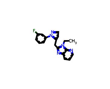 CCn1c(Cc2ccnn2-c2cccc(F)c2)nc2cccnc21